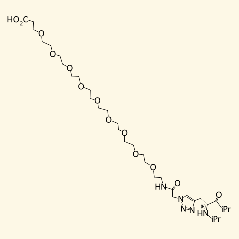 CC(C)N[C@H](Cc1cn(CC(=O)NCCOCCOCCOCCOCCOCCOCCOCCOCCOCCC(=O)O)nn1)C(=O)C(C)C